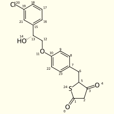 O=C1CC(=O)C(Cc2ccc(OC[C@H](O)c3cccc(Cl)c3)cc2)S1